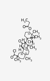 CCC(=O)O[C@H]1CC[C@]2(C)[C@H]3C(=O)C=C4[C@@H]5C[C@@](C)(C(=O)Cl)CC[C@]5(C)CC[C@@]4(C)[C@]3(C)CC[C@H]2C1(C)C